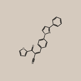 N#CC(=Cc1ccc(-n2ccc(-c3ccccc3)n2)cc1)C(=O)c1ccco1